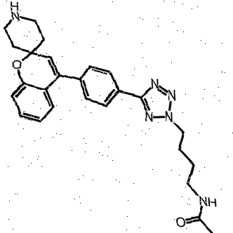 CC(=O)NCCCCn1nnc(-c2ccc(C3=CC4(CCNCC4)Oc4ccccc43)cc2)n1